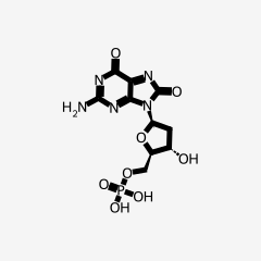 NC1=NC(=O)C2=NC(=O)N([C@H]3C[C@H](O)[C@@H](COP(=O)(O)O)O3)C2=N1